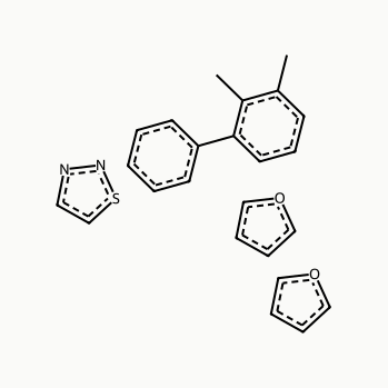 Cc1cccc(-c2ccccc2)c1C.c1ccoc1.c1ccoc1.c1csnn1